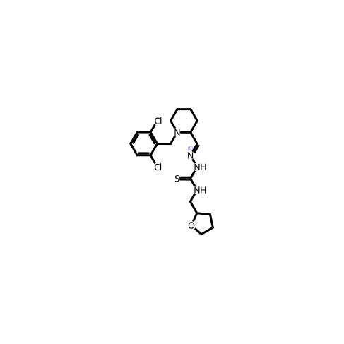 S=C(NCC1CCCO1)N/N=C/C1CCCCN1Cc1c(Cl)cccc1Cl